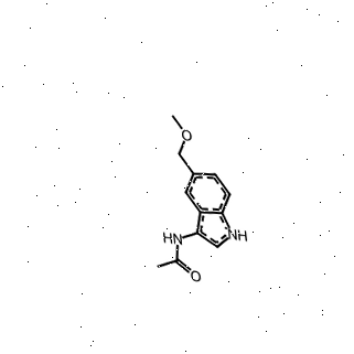 COCc1ccc2[nH]cc(NC(C)=O)c2c1